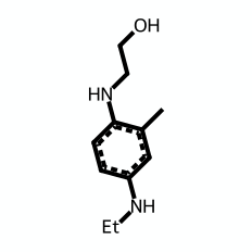 CCNc1ccc(NCCO)c(C)c1